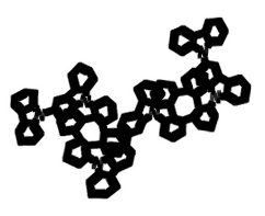 c1ccc2c(c1)-c1cccc(-n3c4ccccc4c4ccc(-c5ccc6c7ccccc7n(-c7cccc8c7-c7ccccc7-c7ccccc7-c7c-8cccc7-n7c8ccccc8c8cc(-n9c%10ccccc%10c%10ccccc%109)ccc87)c6c5)cc43)c1-c1ccccc1-c1cccc(-n3c4ccccc4c4cc(-n5c6ccccc6c6ccccc65)ccc43)c1-2